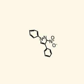 O=[N+]([O-])c1nn(-c2ccccc2)cc1-c1ccccc1